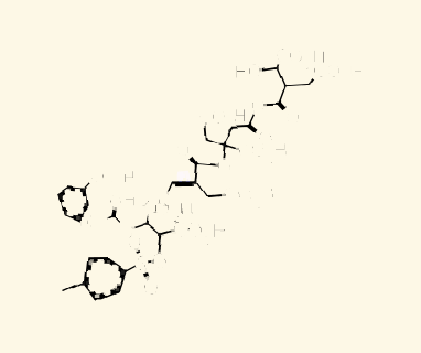 CCCC(=O)OC(C(=O)O)C(OS(=O)(=O)c1ccc(C)cc1)C(=O)O.O=C(O)/C=C(\CC(=O)O)C(=O)OC(CC(=O)O)(CC(=O)OC(=O)C(CC(=O)O)C(O)C(=O)O)C(=O)O.O=C(O)c1ccccc1